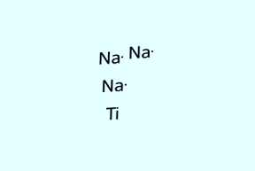 [Na].[Na].[Na].[Ti]